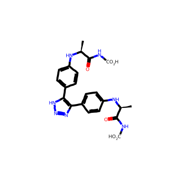 C[C@H](Nc1ccc(-c2nn[nH]c2-c2ccc(N[C@@H](C)C(=O)NC(=O)O)cc2)cc1)C(=O)NC(=O)O